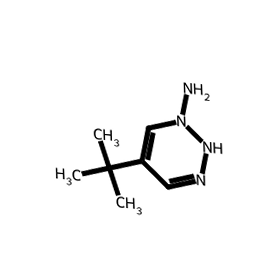 CC(C)(C)C1=CN(N)NN=C1